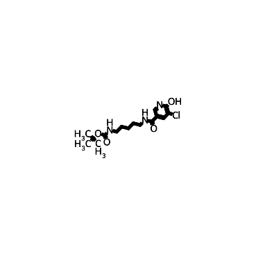 CC(C)(C)OC(=O)NCCCCCNC(=O)c1cnc(O)c(Cl)c1